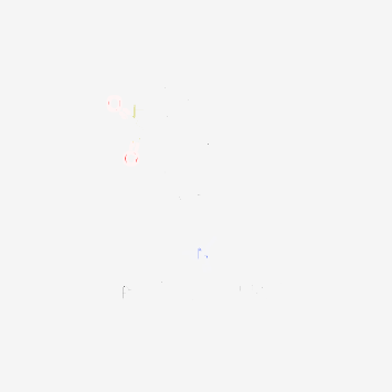 CC(C)c1cc(C(=O)O)n(Cc2ccc(C3([SH](=O)=O)CC3)cc2)c1